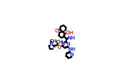 C[C@H](Oc1cc(Nc2ccccn2)nc(C(=N)C2=C(O)[C@]3(CCCCC3=O)CCC2)n1)[C@@H]1CCCN1C